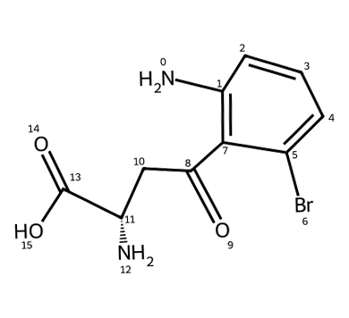 Nc1cccc(Br)c1C(=O)C[C@H](N)C(=O)O